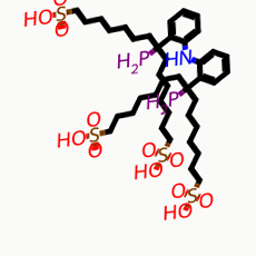 O=S(=O)(O)CCCCCCCC(P)(CCCCCCCS(=O)(=O)O)c1ccccc1Nc1ccccc1C(P)(CCCCCCCS(=O)(=O)O)CCCCCCCS(=O)(=O)O